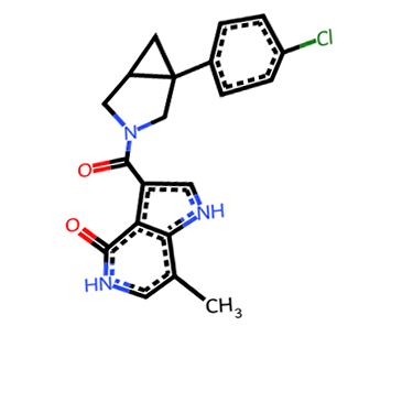 Cc1c[nH]c(=O)c2c(C(=O)N3CC4CC4(c4ccc(Cl)cc4)C3)c[nH]c12